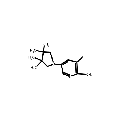 Cc1ncc(B2CC(C)(C)C(C)(C)C2)cc1F